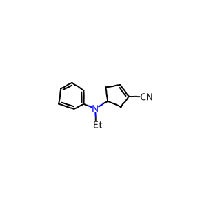 CCN(c1ccccc1)C1CC=C(C#N)C1